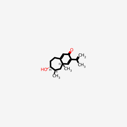 C=C(C)C1=C[C@]2(C)C[C@@H](C)[C@H](O)CCC2=CC1=O